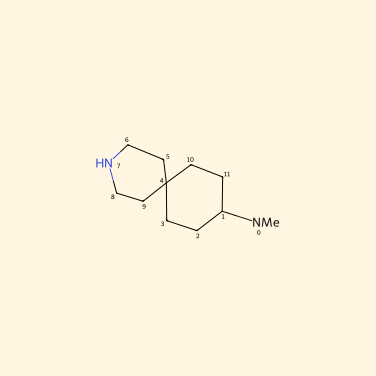 CNC1CCC2(CCNCC2)CC1